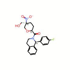 O=C([C@@H]1CC[C@](CO)([N+](=O)[O-])CO1)N1CCc2ccccc2[C@@H]1c1ccc(F)cc1